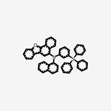 c1ccc([Si](c2ccccc2)(c2ccccc2)c2cccc(N(c3cccc4ccccc34)c3cc4c5ccccc5oc4c4ccccc34)c2)cc1